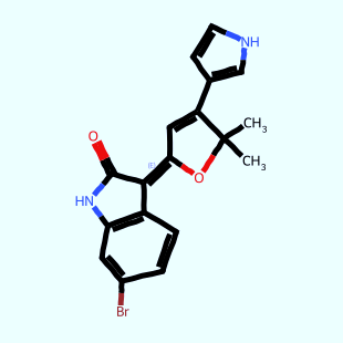 CC1(C)O/C(=C2/C(=O)Nc3cc(Br)ccc32)C=C1c1cc[nH]c1